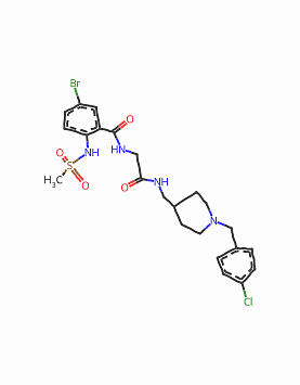 CS(=O)(=O)Nc1ccc(Br)cc1C(=O)NCC(=O)NCC1CCN(Cc2ccc(Cl)cc2)CC1